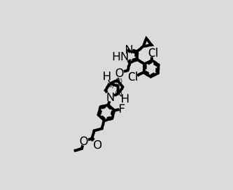 CCOC(=O)CCc1ccc(N2C[C@@H]3C[C@H]2C[C@H]3OCc2[nH]nc(C3CC3)c2-c2c(Cl)cccc2Cl)c(F)c1